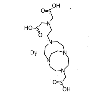 O=S(O)CN1CCN2CCN(CCN(CCN(CS(=O)O)CS(=O)O)CC2)CC1.[Dy]